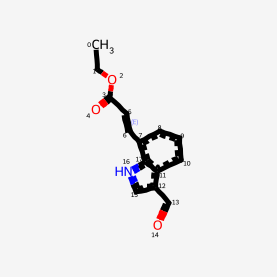 CCOC(=O)/C=C/c1cccc2c(C=O)c[nH]c12